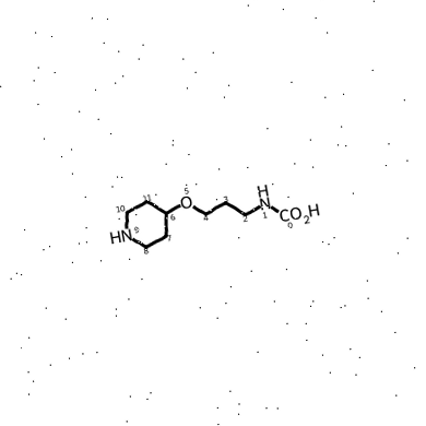 O=C(O)NCCCOC1CCNCC1